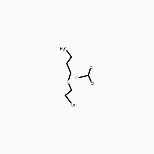 CCCCOCCO.ClC(Cl)Cl